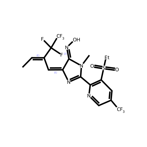 C\C=C(/C=C1/N=C(c2ncc(C(F)(F)F)cc2S(=O)(=O)CC)N(C)/C1=N\O)C(F)(F)C(F)(F)F